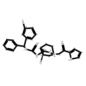 O=C(OC(c1ccccc1)c1cccc(F)c1)O[C@H]1C[N+]2(CC(=O)c3cccs3)CCC1CC2